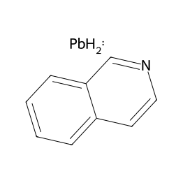 [PbH2].c1ccc2cnccc2c1